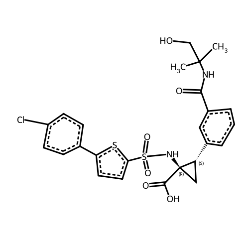 CC(C)(CO)NC(=O)c1cccc([C@@H]2C[C@]2(NS(=O)(=O)c2ccc(-c3ccc(Cl)cc3)s2)C(=O)O)c1